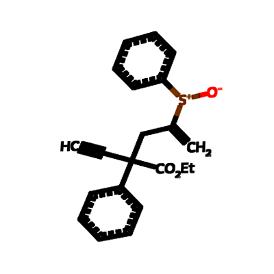 C#CC(CC(=C)[S+]([O-])c1ccccc1)(C(=O)OCC)c1ccccc1